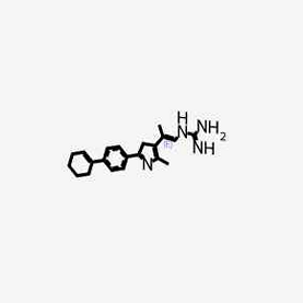 CC1=C(/C(C)=C/NC(=N)N)CC(c2ccc(C3=CCCCC3)cc2)=N1